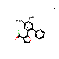 COc1cc(-c2ccccc2)c(-c2occc2C(=O)Cl)cc1OC